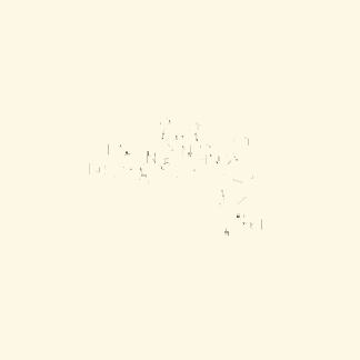 CC(C)C[C@H](NC(=O)c1ccc(N(C)C)cc1)C(=O)N1CC[C@@H]2[C@H]1C(=O)CN2C(=O)[C@@H](N)CC(C)(C)C